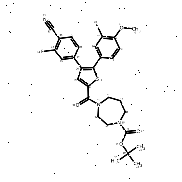 COc1ccc(-c2sc(C(=O)N3CCCN(C(=O)OC(C)(C)C)CC3)cc2-c2ccc(C#N)c(F)c2)cc1F